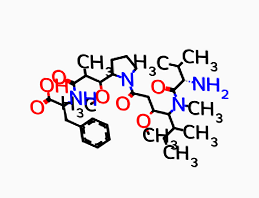 CCC(C)C(C(CC(=O)N1CCCC1C(OC)C(C)C(=O)N[C@@H](Cc1ccccc1)C(=O)O)OC)N(C)C(=O)[C@@H](N)C(C)C